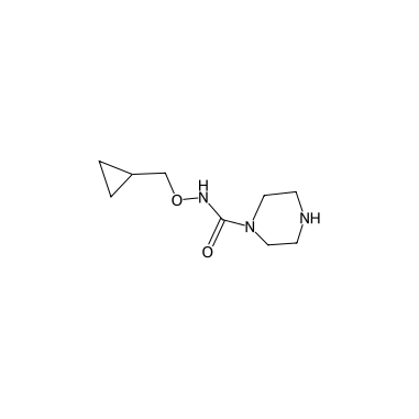 O=C(NOCC1CC1)N1CCNCC1